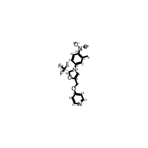 Cc1cc(N2C=C(COc3ccncc3)O[C@@H]2C(F)(F)F)ccc1[N+](=O)[O-]